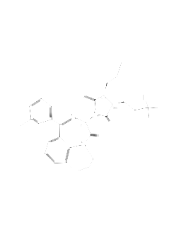 CCC[C@@H]1C(=O)N([C@@H]2N=C(c3cccc(C)c3)c3cccc4c3N(CCO4)C2=O)C(=O)[C@@H]1CCC(F)(F)F